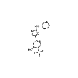 ON1CC(c2cnc(Nc3cccnc3)o2)=NC=C1C(F)(F)F